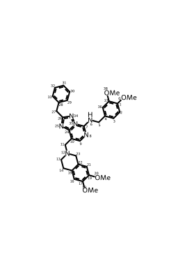 COc1ccc(CNc2ncc(CN3CCc4cc(OC)c(OC)cc4C3)c3nc(Cc4ccccc4)nn23)cc1OC